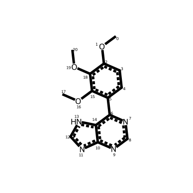 COc1ccc(-c2ncnc3nc[nH]c23)c(OC)c1OC